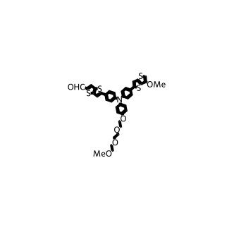 COCCOCCOCCOc1ccc(N(c2ccc(-c3cc4sc(C=O)cc4s3)cc2)c2ccc(-c3cc4scc(OC)c4s3)cc2)cc1